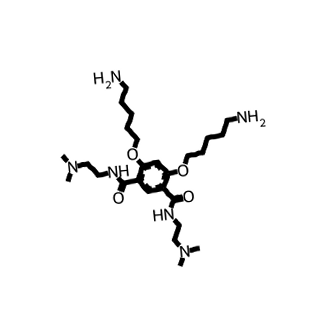 CN(C)CCNC(=O)c1cc(C(=O)NCCN(C)C)c(OCCCCCN)cc1OCCCCCN